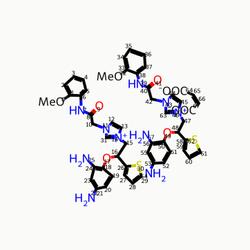 COc1ccccc1NC(=O)Cn1cc[n+](CC(Oc2ccc(N)cc2N)c2cccs2)c1.COc1ccccc1NC(=O)Cn1cc[n+](CC(Oc2ccc(N)cc2N)c2cccs2)c1.O=C([O-])/C=C\C(=O)[O-]